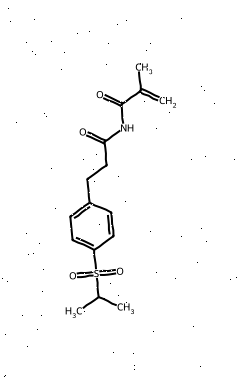 C=C(C)C(=O)NC(=O)CCc1ccc(S(=O)(=O)C(C)C)cc1